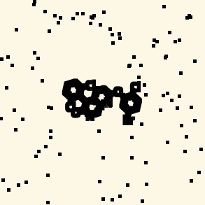 O=c1ncn2nc(Oc3cc(Br)ccc3Cl)ccc2c1-c1c(Cl)cccc1Cl